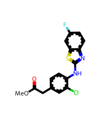 COC(=O)Cc1ccc(Nc2nc3ccc(F)cc3s2)c(Cl)c1